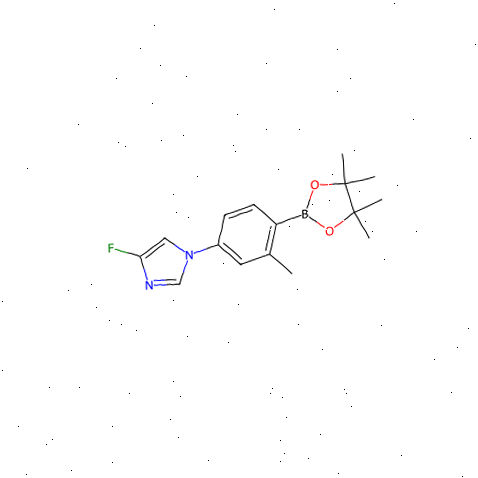 Cc1cc(-n2cnc(F)c2)ccc1B1OC(C)(C)C(C)(C)O1